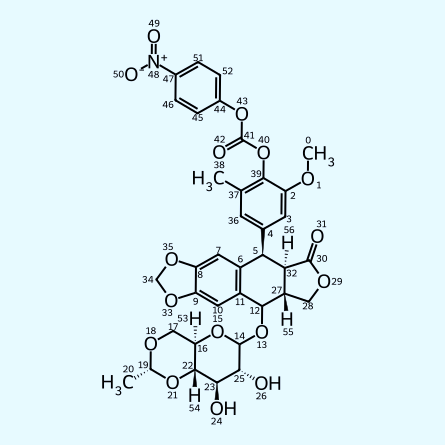 COc1cc([C@@H]2c3cc4c(cc3C(OC3O[C@@H]5CO[C@@H](C)O[C@H]5[C@H](O)[C@H]3O)[C@H]3COC(=O)[C@H]23)OCO4)cc(C)c1OC(=O)Oc1ccc([N+](=O)[O-])cc1